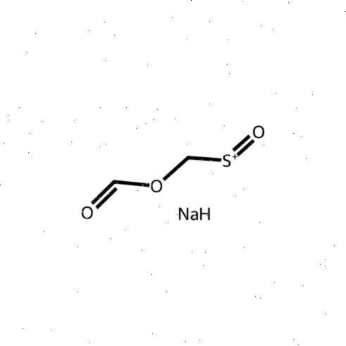 O=COC[S+]=O.[NaH]